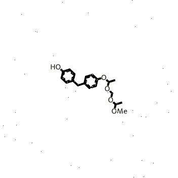 COC(C)OCOC(C)Oc1ccc(Cc2ccc(O)cc2)cc1